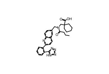 CCCC(=O)N(Cc1ccc2nc(-c3ccccc3-c3nnn[nH]3)ccc2c1)CC1(C(=O)O)CCCCC1